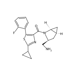 NC[C@@H]1C[C@@H]2C[C@@H]2N1C(=O)c1nc(C2CC2)sc1-c1ccccc1F